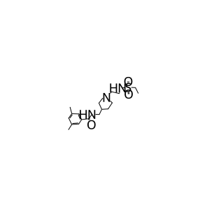 CCS(=O)(=O)NCCN1CCC(CNC(=O)c2cc(C)cc(C)c2)CC1